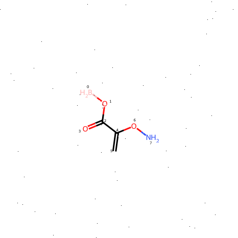 BOC(=O)C(=C)ON